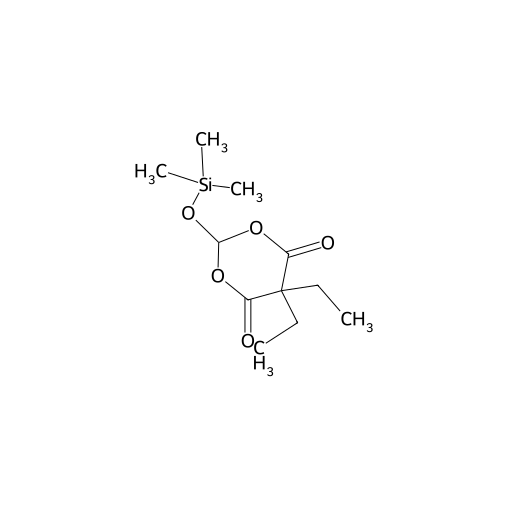 CCC1(CC)C(=O)OC(O[Si](C)(C)C)OC1=O